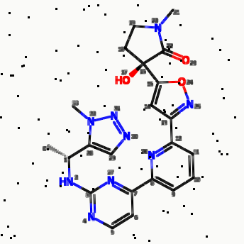 C[C@@H](Nc1nccc(-c2cccc(-c3cc([C@]4(O)CCN(C)C4=O)on3)n2)n1)c1cnnn1C